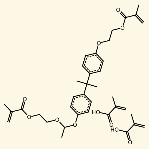 C=C(C)C(=O)O.C=C(C)C(=O)O.C=C(C)C(=O)OCCOc1ccc(C(C)(C)c2ccc(OC(C)OCCOC(=O)C(=C)C)cc2)cc1